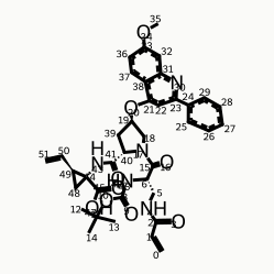 C=CC(=O)NC[C@H](NC(=O)OC(C)(C)C)C(=O)N1C[C@H](Oc2cc(-c3ccccc3)nc3cc(OC)ccc23)C[C@H]1C(=O)N[C@]1(C(=O)O)C[C@H]1C=C